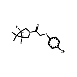 CC1(C)[C@@H]2CN(C(=O)COc3ccc(O)cc3)C[C@@H]21